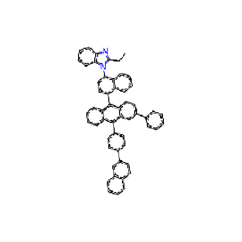 CCc1nc2ccccc2n1-c1ccc(-c2c3ccccc3c(-c3ccc(-c4ccc5ccccc5c4)cc3)c3cc(-c4ccccc4)ccc23)c2ccccc12